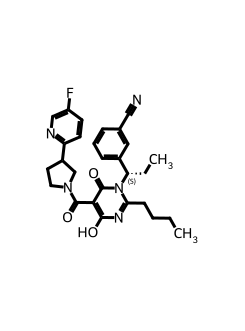 CCCCc1nc(O)c(C(=O)N2CCC(c3ccc(F)cn3)C2)c(=O)n1[C@@H](CC)c1cccc(C#N)c1